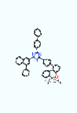 CC1(C)Oc2cccc(-c3ccc(-c4nc(-c5ccc(-c6ccccc6)cc5)nc(-c5cc(-c6ccccc6)c6ccccc6c5)n4)cc3)c2-c2ccccc21